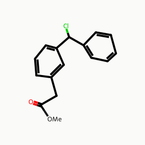 COC(=O)Cc1cccc(C(Cl)c2ccccc2)c1